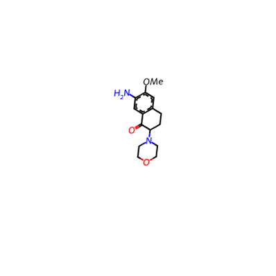 COc1cc2c(cc1N)C(=O)C(N1CCOCC1)CC2